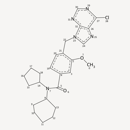 COc1cc(C(=O)N(C2CCCCC2)C2CCCC2)ccc1Cn1cnc2c(Cl)ncnc21